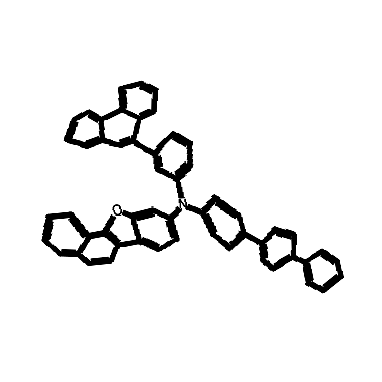 c1ccc(-c2ccc(-c3ccc(N(c4cccc(-c5cc6ccccc6c6ccccc56)c4)c4ccc5c(c4)oc4c6ccccc6ccc54)cc3)cc2)cc1